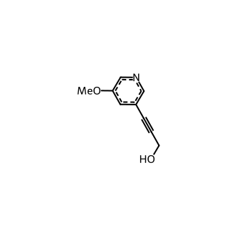 COc1cncc(C#CCO)c1